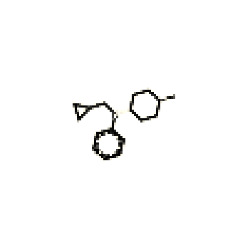 C[C@H]1CC[C@H](N(CC2CC2)c2ccccc2)CC1